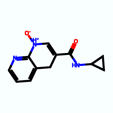 O=C(NC1CC1)C1=C[NH+]([O-])c2ncccc2C1